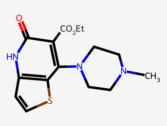 CCOC(=O)c1c(N2CCN(C)CC2)c2sccc2[nH]c1=O